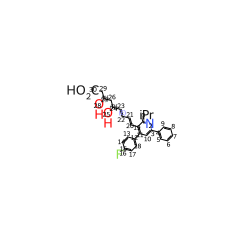 CC(C)c1nc(-c2ccccc2)cc(-c2ccc(F)cc2)c1C=C/C=C/[C@H](O)C[C@H](O)CC(=O)O